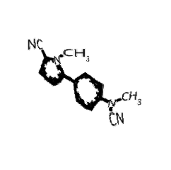 CN(C#N)c1ccc(-c2ccc(C#N)n2C)cc1